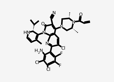 C=CC(=O)N1[C@H](C)CN(c2c(C#N)c(=O)n(C3=C(C)C=CN[C@@H]3C(C)C)c3nc(-c4c(N)c(Cl)c(Cl)c(F)c4F)c(Cl)cc23)C[C@@H]1C